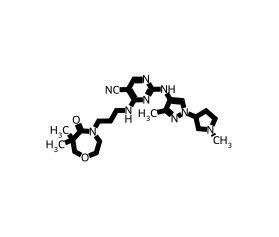 Cc1nn(C2CCN(C)C2)cc1Nc1ncc(C#N)c(NCCCN2CCOCC(C)(C)C2=O)n1